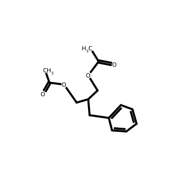 CC(=O)OCC(COC(C)=O)Cc1ccccc1